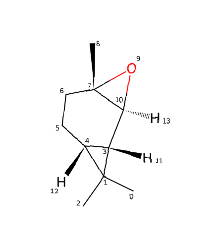 CC1(C)[C@@H]2[C@H]1CC[C@]1(C)O[C@@H]21